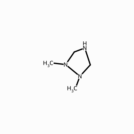 CN1CNCN1C